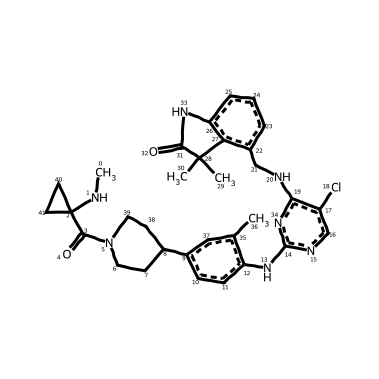 CNC1(C(=O)N2CCC(c3ccc(Nc4ncc(Cl)c(NCc5cccc6c5C(C)(C)C(=O)N6)n4)c(C)c3)CC2)CC1